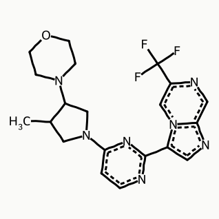 CC1CN(c2ccnc(-c3cnc4cnc(C(F)(F)F)cn34)n2)CC1N1CCOCC1